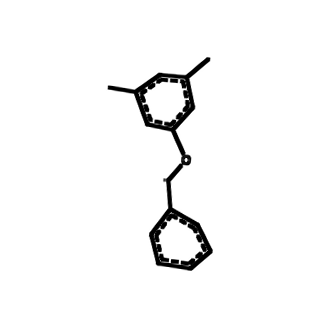 Cc1cc(C)cc(O[CH]c2ccccc2)c1